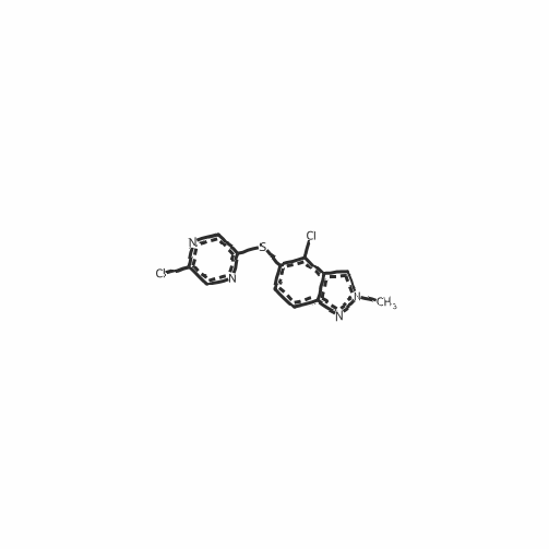 Cn1cc2c(Cl)c(Sc3cnc(Cl)cn3)ccc2n1